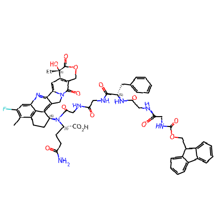 CC[C@@]1(O)C(=O)OCc2c1cc1n(c2=O)Cc2c-1nc1cc(F)c(C)c3c1c2[C@@H](N(C(=O)CNC(=O)CNC(=O)[C@H](Cc1ccccc1)NC(=O)CNC(=O)CNC(=O)OCC1c2ccccc2-c2ccccc21)[C@@H](CCC(N)=O)C(=O)O)CC3